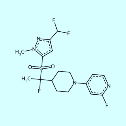 Cn1nc(C(F)F)cc1S(=O)(=O)C(C)(F)C1CCN(c2ccnc(F)c2)CC1